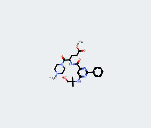 CCOC(=O)N1CCN(C(=O)C(CCC(=O)OC(C)(C)C)NC(=O)c2cc(NC(C)(C)CO)nc(-c3ccccc3)n2)CC1